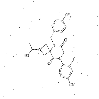 CC(O)N1CC2(C1)C(=O)N(c1ccc(C#N)cc1F)CC(=O)N2Cc1ccc(C(F)(F)F)cc1